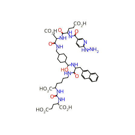 NNc1ccc(C(=O)NC(CCC(=O)O)C(=O)NC(CC(=O)O)C(=O)NCC2CCC(C(O)NC(Cc3ccc4ccccc4c3)C(=O)NCCCCC(NC(=O)NC(CCC(=O)O)C(=O)O)C(=O)O)CC2)cn1